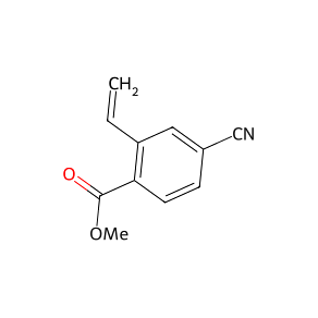 C=Cc1cc(C#N)ccc1C(=O)OC